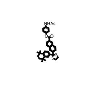 CC(=O)Nc1ccc(OC(=O)c2ccc3cc(C4(c5ccc6c(c5)C(C)(C)CCC6(C)C)SCCS4)ccc3c2)cc1